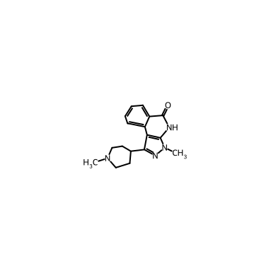 CN1CCC(c2nn(C)c3[nH]c(=O)c4ccccc4c23)CC1